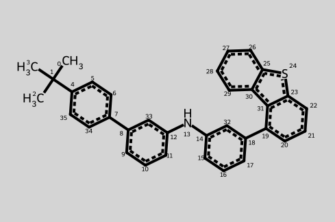 CC(C)(C)c1ccc(-c2cccc(Nc3cccc(-c4cccc5sc6ccccc6c45)c3)c2)cc1